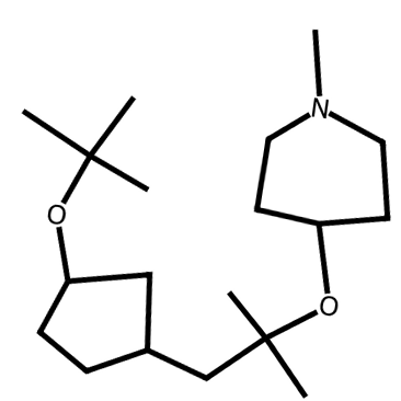 CN1CCC(OC(C)(C)CC2CCC(OC(C)(C)C)C2)CC1